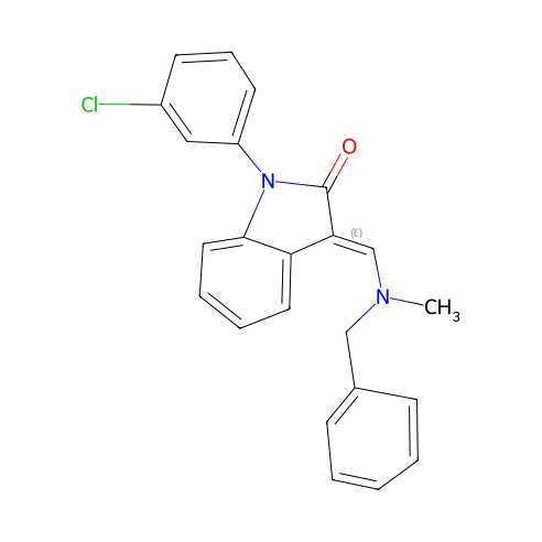 CN(/C=C1/C(=O)N(c2cccc(Cl)c2)c2ccccc21)Cc1ccccc1